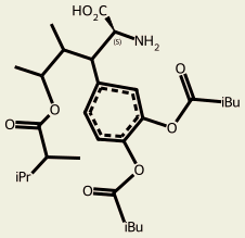 CCC(C)C(=O)Oc1ccc(C(C(C)C(C)OC(=O)C(C)C(C)C)[C@H](N)C(=O)O)cc1OC(=O)C(C)CC